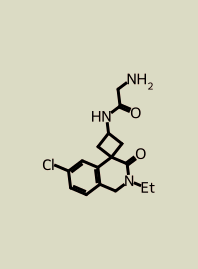 CCN1Cc2ccc(Cl)cc2C2(CC(NC(=O)CN)C2)C1=O